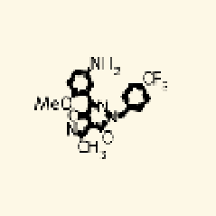 COc1ccc(N)cc1-c1nn(Cc2ccc(C(F)(F)F)cc2)c(=O)c2c(C)noc12